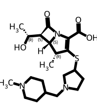 C[C@@H](O)[C@H]1C(=O)N2C(C(=O)O)=C(SC3CCN(CC4CCN(C)CC4)C3)[C@H](C)[C@H]12